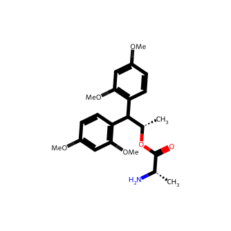 COc1ccc(C(c2ccc(OC)cc2OC)[C@H](C)OC(=O)[C@H](C)N)c(OC)c1